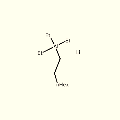 CCCCCCC[CH2][Al-]([CH2]C)([CH2]C)[CH2]C.[Li+]